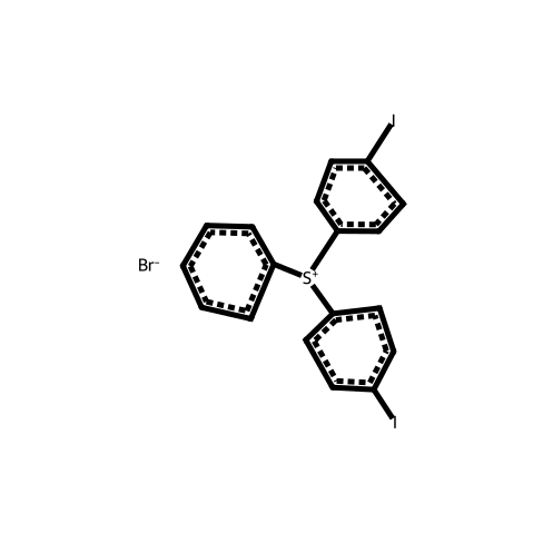 Ic1ccc([S+](c2ccccc2)c2ccc(I)cc2)cc1.[Br-]